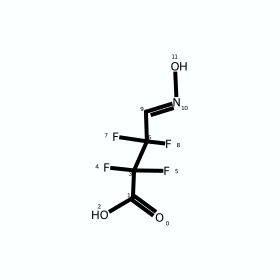 O=C(O)C(F)(F)C(F)(F)C=NO